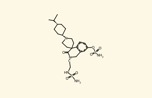 CC(C)[C@H]1CC[C@@H](N2CCC3(CC2)C(=O)N(CCNS(N)(=O)=O)Cc2cc(OS(N)(=O)=O)ccc23)CC1